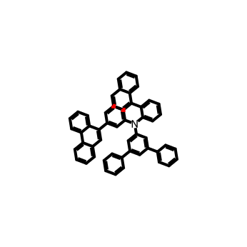 c1ccc(-c2cc(-c3ccccc3)cc(N(c3cccc(-c4cc5ccccc5c5ccccc45)c3)c3ccccc3-c3cccc4ccccc34)c2)cc1